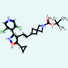 CC(C)(C)OC(=O)N1CC2(CC(/C=C/c3c(-c4c(Cl)cncc4Cl)noc3C3CC3)C2)C1